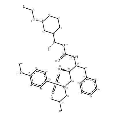 CCO[C@@H]1CCCC([C@@H](C)OC(=O)NC(Cc2ccccc2)[C@H](O)CN(CC(C)C)S(=O)(=O)c2ccc(OC)cc2)C1